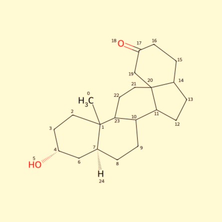 CC12CC[C@@H](O)C[C@@H]1CCC1C3CCC4CCC(=O)CC43CCC12